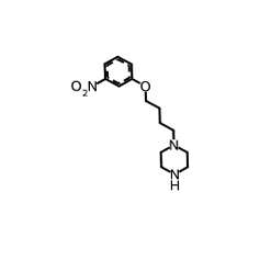 O=[N+]([O-])c1cccc(OCCCCN2CCNCC2)c1